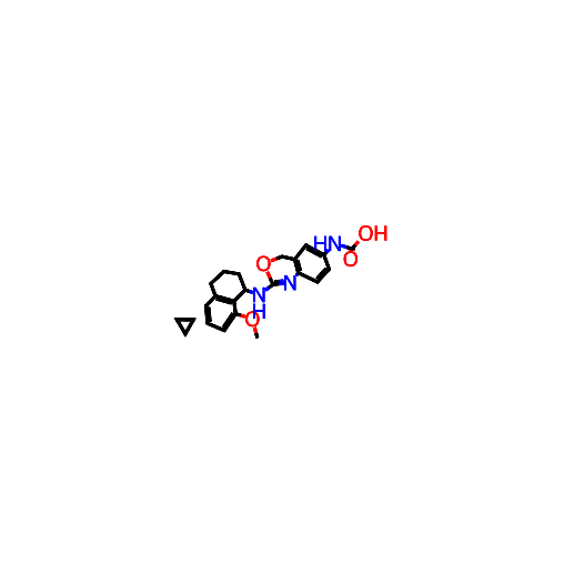 C1CC1.COc1cccc2c1C(NC1=Nc3ccc(NC(=O)O)cc3CO1)CCC2